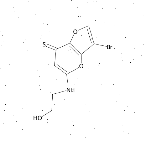 OCCNc1cc(=S)c2occ(Br)c2o1